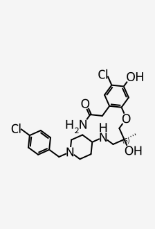 C[C@](O)(CNC1CCN(Cc2ccc(Cl)cc2)CC1)COc1cc(O)c(Cl)cc1CC(N)=O